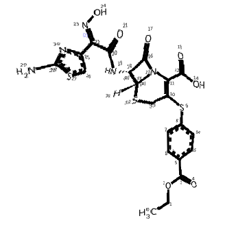 CCOC(=O)c1ccc(SC2=C(C(=O)O)N3C(=O)[C@@H](NC(=O)/C(=N\O)c4csc(N)n4)[C@H]3SC2)cc1